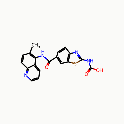 Cc1ccc2ncccc2c1NC(=O)c1ccc2nc(NC(=O)O)sc2c1